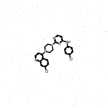 Clc1ccc(Nc2ccnc(N3CCN(c4ccnc5cc(Cl)ccc45)CC3)n2)cc1